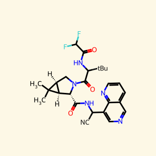 CC(C)(C)C(NC(=O)C(F)F)C(=O)N1C[C@H]2[C@@H]([C@H]1C(=O)NC(C#N)c1cncc3cccnc13)C2(C)C